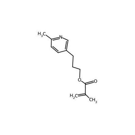 C=C(C)C(=O)OCCCc1ccc(C)nc1